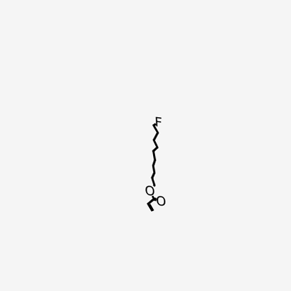 C=CC(=O)OCCCCCCCCCCF